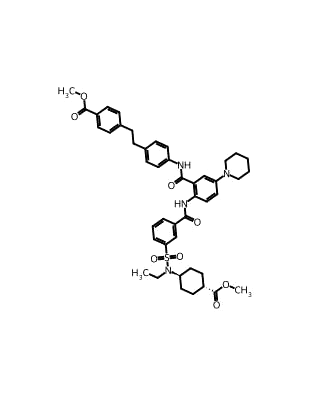 CCN([C@H]1CC[C@H](C(=O)OC)CC1)S(=O)(=O)c1cccc(C(=O)Nc2ccc(N3CCCCC3)cc2C(=O)Nc2ccc(CCc3ccc(C(=O)OC)cc3)cc2)c1